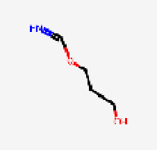 N=COCCCO